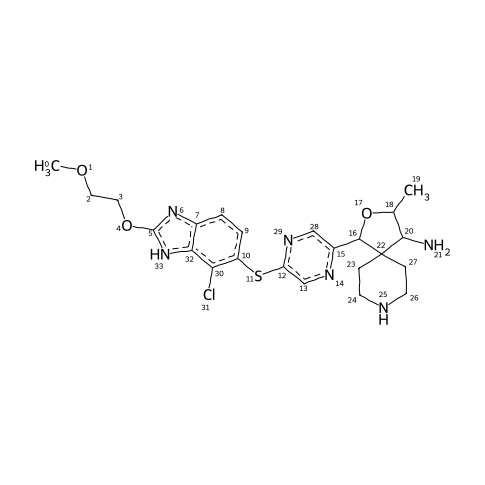 COCCOc1nc2ccc(Sc3cnc(C4OC(C)C(N)C45CCNCC5)cn3)c(Cl)c2[nH]1